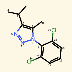 Cc1c(C(C)C)nnn1-c1c(Cl)cccc1Cl